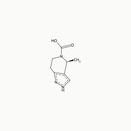 C[C@H]1c2c[nH]nc2CCN1C(=O)O